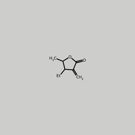 C=C1C(=O)OC(C)C1CC